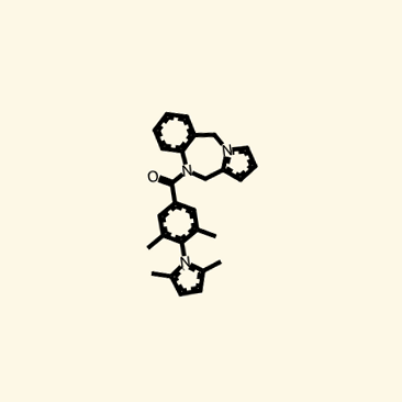 Cc1cc(C(=O)N2Cc3cccn3Cc3ccccc32)cc(C)c1-n1c(C)ccc1C